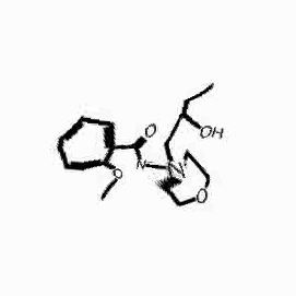 CCC(O)C[N+]1([N-]C(=O)c2ccccc2OC)CCOCC1